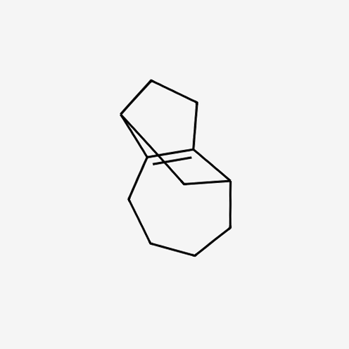 C1CCC2CC3CCC2=C3C1